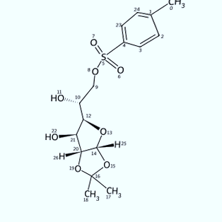 Cc1ccc(S(=O)(=O)OC[C@@H](O)[C@H]2O[C@@H]3OC(C)(C)O[C@@H]3[C@H]2O)cc1